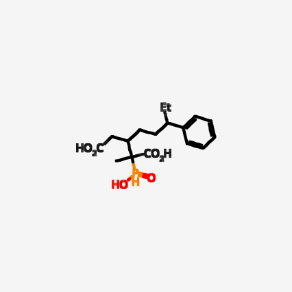 CCC(CCC(CC(=O)O)C(C)(C(=O)O)[PH](=O)O)c1ccccc1